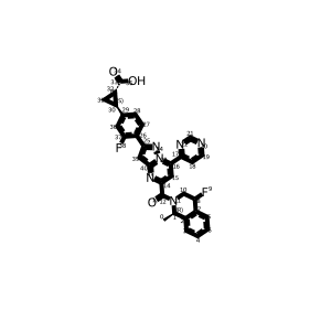 C[C@@H]1c2ccccc2C(F)CN1C(=O)c1cc(-c2ccncn2)n2nc(-c3ccc([C@H]4C[C@@H]4C(=O)O)cc3F)cc2n1